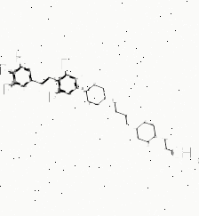 CCC[C@H]1CC[C@H](CCCC[C@H]2CC[C@H](c3cc(F)c(C=Cc4cc(F)c(F)c(F)c4)c(F)c3)CC2)CC1